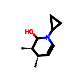 C[C@@H]1C(O)N(C2CC2)C=C[C@@H]1C